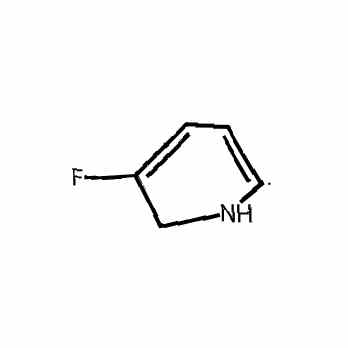 FC1=CC=[C]NC1